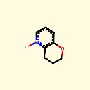 [O-][n+]1cccc2c1CCCO2